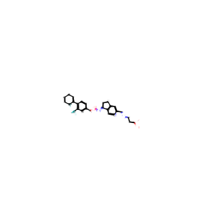 O=C(O)CCNCc1ccc2c(c1)CC/C2=N\OCc1ccc(C2CCCCC2)c(C(F)(F)F)c1